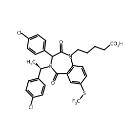 C[C@H](c1ccc(Cl)cc1)N1C(=O)c2cc(SC(F)(F)F)ccc2N(CCCCC(=O)O)C(=O)C1c1ccc(Cl)cc1